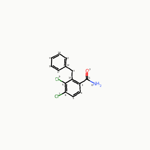 NC(=O)c1ccc(Cl)c(Cl)c1Cc1ccccc1